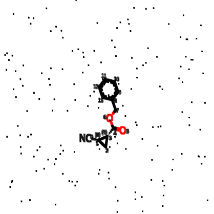 N#C[C@@H]1C[C@H]1C(=O)OCc1ccccc1